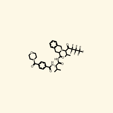 CC(C)C(C(=O)C(F)(F)C(F)(F)C(F)(F)F)N1Cc2ccccc2CC1C(=O)NC(=O)[C@@H](NC(=O)c1ccc(C(=O)N2CCOCC2)cc1)C(C)C